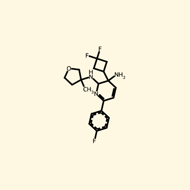 CC1(NC2N=C(c3ccc(F)cc3)C=CC2(N)C2CC(F)(F)C2)CCOC1